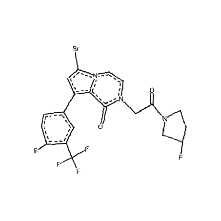 O=C(Cn1ccn2c(Br)cc(-c3ccc(F)c(C(F)(F)F)c3)c2c1=O)N1CCC(F)C1